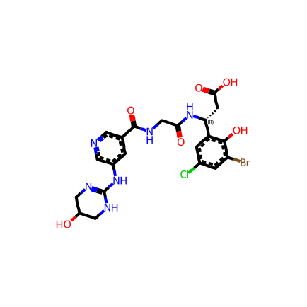 O=C(O)C[C@@H](NC(=O)CNC(=O)c1cncc(NC2=NCC(O)CN2)c1)c1cc(Cl)cc(Br)c1O